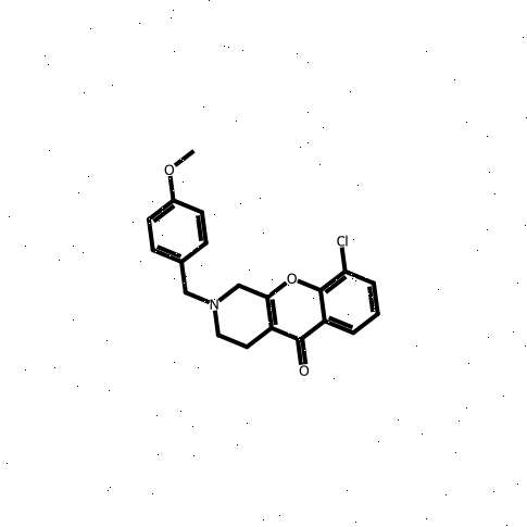 COc1ccc(CN2CCc3c(oc4c(Cl)cccc4c3=O)C2)cc1